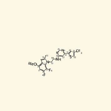 COc1cc(F)c(F)c2c1cc(C)n2CCNc1cc(-c2cc(C(F)(F)F)cs2)ncn1